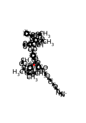 CC(=O)OC[C@H]1O[C@@H](Oc2ccc(C(=O)NCCOCCOCCOCCN=[N+]=[N-])cc2OS(=O)(=O)Oc2ccc(COc3c4c(cc5c3C(=O)N[C@H]3[C@H](OC(C)=O)[C@H](OC(C)=O)[C@@H](O)[C@H](OC(=O)c6ccccc6)[C@H]53)OCO4)cc2)[C@H](OC(C)=O)[C@@H](OC(C)=O)[C@H]1OC(C)=O